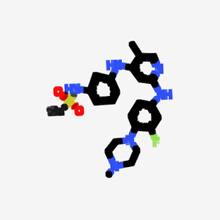 Cc1cnc(Nc2ccc(N3CCN(C)CC3)c(F)c2)cc1Nc1cccc(NS(=O)(=O)C(C)(C)C)c1